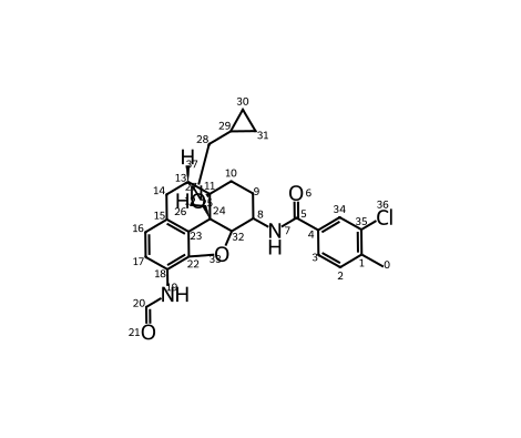 Cc1ccc(C(=O)NC2CC[C@@]3(O)[C@H]4Cc5ccc(NC=O)c6c5[C@@]3(CCN4CC3CC3)C2O6)cc1Cl